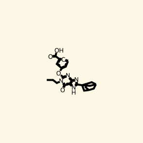 CCCn1c(Oc2cccc(C(=O)O)c2)nc2nc(C34CC5CC(CC3C5)C4)[nH]c2c1=O